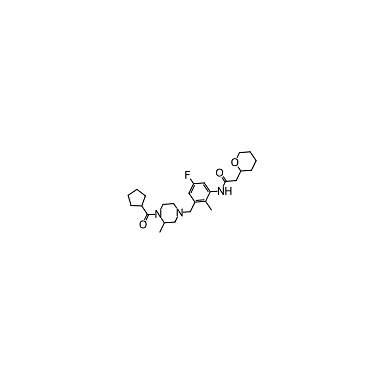 Cc1c(CN2CCN(C(=O)C3CCCC3)C(C)C2)cc(F)cc1NC(=O)CC1CCCCO1